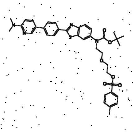 Cc1ccc(S(=O)(=O)OCCOCCN(C(=O)OC(C)(C)C)c2ccc3nc(-c4ccc(-c5ccc(N(C)C)nc5)cc4)sc3c2)cc1